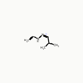 C=CN/N=C\C(C)C